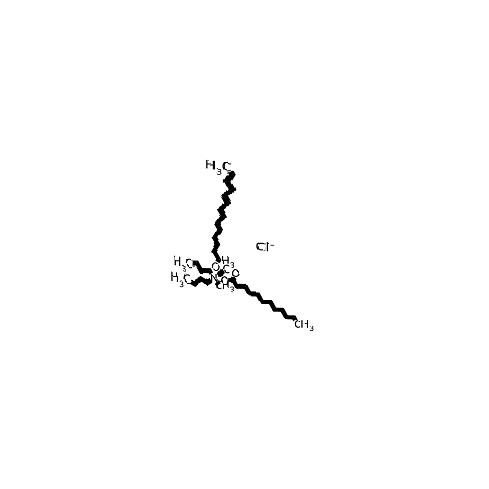 CCCCCCCCCCCCCCOC(C)(OC(=O)CCCCCCCCCCC)[N+](C)(CCCC)CCCC.[Cl-]